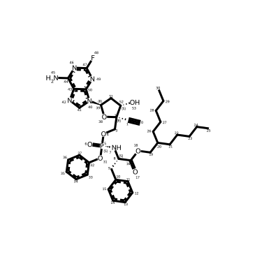 C#C[C@]1(CO[P@@](=O)(N[C@@H](Cc2ccccc2)C(=O)OCC(CCCCC)CCCCC)Oc2ccccc2)O[C@@H](n2cnc3c(N)nc(F)nc32)C[C@@H]1O